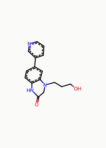 O=C1CN(CCCO)c2cc(-c3cccnc3)ccc2N1